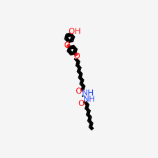 CCCCCCCCCC(=O)NCNC(=O)CCCCCCCCCCOc1ccc(Oc2ccc(O)cc2)cc1